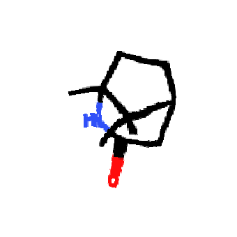 CC12CCC(CC(=O)N1)C2(C)C